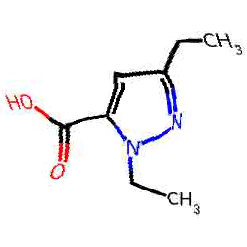 CCc1cc(C(=O)O)n(CC)n1